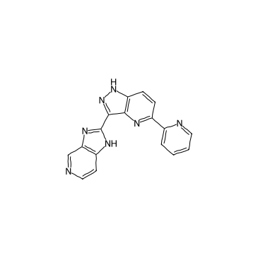 c1ccc(-c2ccc3[nH]nc(-c4nc5cnccc5[nH]4)c3n2)nc1